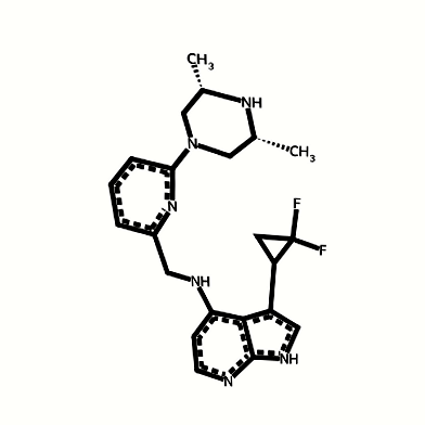 C[C@@H]1CN(c2cccc(CNc3ccnc4[nH]cc(C5CC5(F)F)c34)n2)C[C@H](C)N1